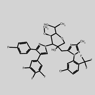 CO[C@H]1C(C(C)O)OCC(O)(Cc2nc(C)nn2-c2cc(Cl)ccc2C(F)(F)F)C1n1cc(-c2cc(F)c(F)c(F)c2)c(-c2ccc(F)cc2)n1